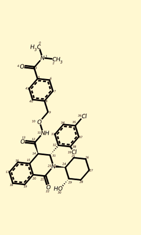 CN(C)C(=O)c1ccc(CONC(=O)[C@@H]2c3ccccc3C(=O)N([C@H]3CCCC[C@@H]3O)[C@H]2c2ccc(Cl)cc2Cl)cc1